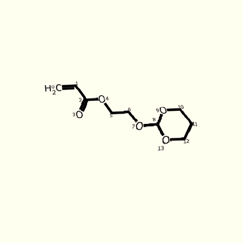 C=CC(=O)OCCOC1OCCCO1